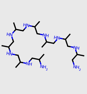 CC(N)CNC(C)CNC(C)CNC(C)CNC(C)CNC(C)CNC(C)CNC(C)CN